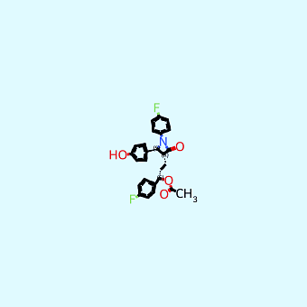 CC(=O)O[C@@H](CC[C@H]1C(=O)N(c2ccc(F)cc2)[C@@H]1c1ccc(O)cc1)c1ccc(F)cc1